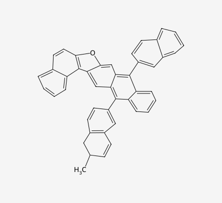 CC1C=Cc2cc(-c3c4ccccc4c(-c4ccc5ccccc5c4)c4cc5oc6ccc7ccccc7c6c5cc34)ccc2C1